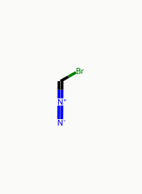 [N-]=[N+]=CBr